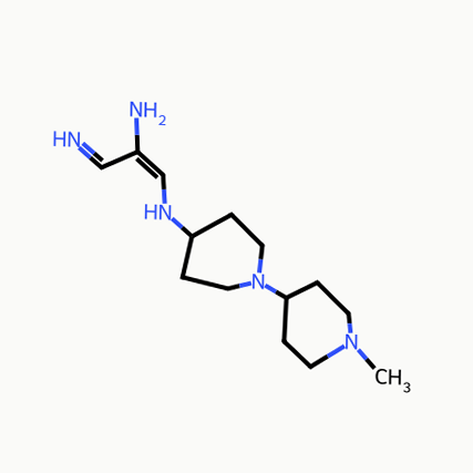 CN1CCC(N2CCC(N/C=C(/N)C=N)CC2)CC1